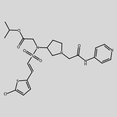 CC(C)OC(=O)CN(C1CCN(CC(=O)Nc2ccncc2)C1)S(=O)(=O)C=Cc1ccc(Cl)s1